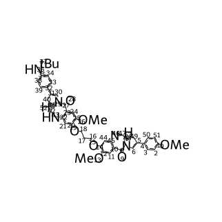 COc1ccc(C2=CN3C(=O)c4cc(OC)c(OCCCOc5cc6c(cc5OC)C(=O)N5C=C(c7ccc(NC(C)(C)C)cc7)C[C@H]5CN6)cc4N=C[C@@H]3C2)cc1